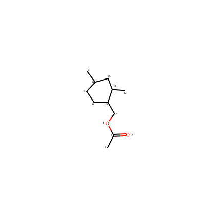 CC(=O)OCC1CCC(C)CC1C